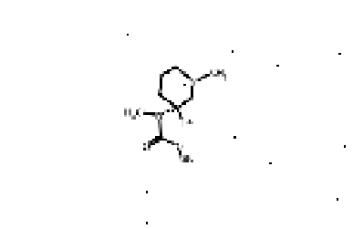 CC(C)C1(N(C)C(=O)OC(C)(C)C)CCCN(C)C1